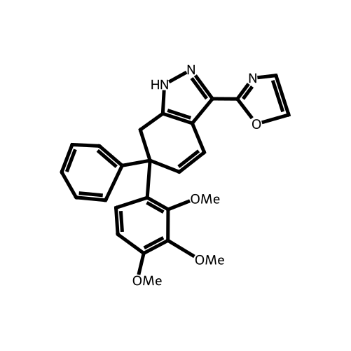 COc1ccc(C2(c3ccccc3)C=Cc3c(-c4ncco4)n[nH]c3C2)c(OC)c1OC